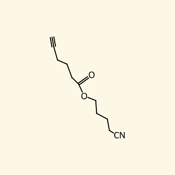 C#CCCCC(=O)OCCCCC#N